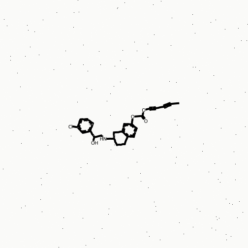 CC#CC#COC(=O)Oc1ccc2c(c1)CC(NCC(O)c1cccc(Cl)c1)CC2